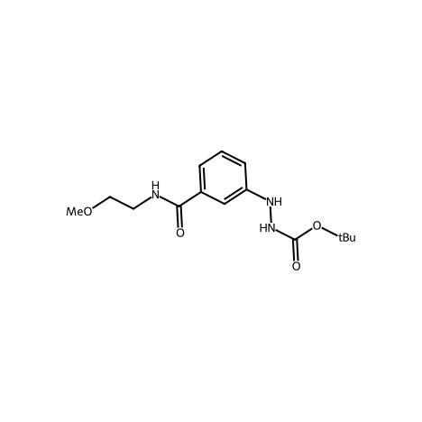 COCCNC(=O)c1cccc(NNC(=O)OC(C)(C)C)c1